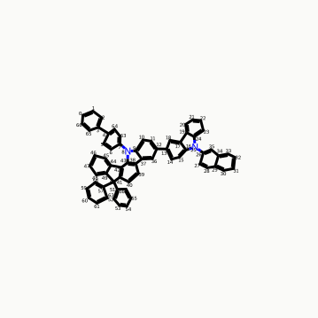 c1ccc(-c2ccc(-n3c4ccc(-c5ccc6c(c5)c5ccccc5n6-c5ccc6ccccc6c5)cc4c4ccc5c(c43)-c3ccccc3C5(c3ccccc3)c3ccccc3)cc2)cc1